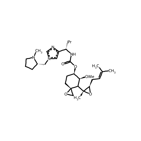 CO[C@H]1C([C@@]2(C)O[C@@H]2CC=C(C)C)[C@]2(CC[C@H]1OC(=O)N[C@H](c1cn(C[C@@H]3CCCN3C)cn1)C(C)C)CO2